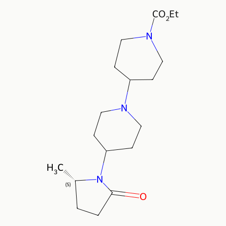 CCOC(=O)N1CCC(N2CCC(N3C(=O)CC[C@@H]3C)CC2)CC1